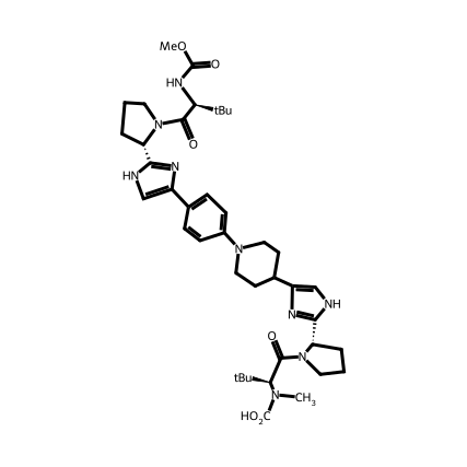 COC(=O)N[C@H](C(=O)N1CCC[C@H]1c1nc(-c2ccc(N3CCC(c4c[nH]c([C@@H]5CCCN5C(=O)[C@@H](N(C)C(=O)O)C(C)(C)C)n4)CC3)cc2)c[nH]1)C(C)(C)C